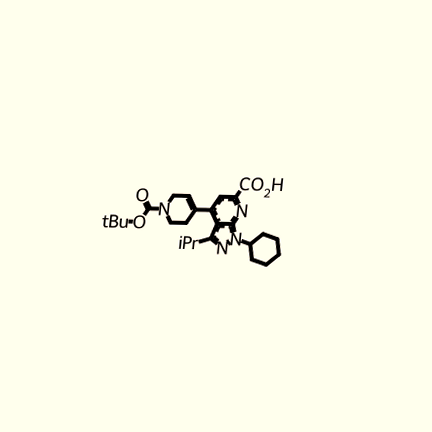 CC(C)c1nn(C2CCCCC2)c2nc(C(=O)O)cc(C3=CCN(C(=O)OC(C)(C)C)CC3)c12